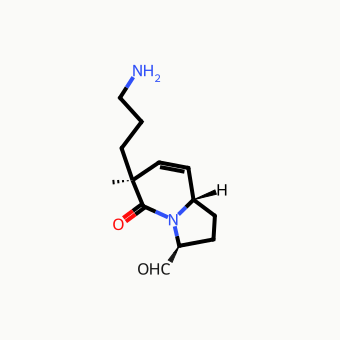 C[C@]1(CCCN)C=C[C@@H]2CC[C@@H](C=O)N2C1=O